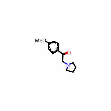 COc1ccc(C(=O)CN2CCCC2)cc1